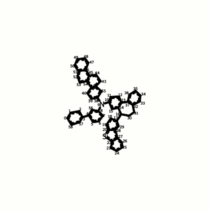 c1ccc(-c2cccc(N(c3ccc4c(c3)C(c3ccc5sc6ccccc6c5c3)CCc3ccccc3-4)c3ccc4c(ccc5c6ccccc6ccc45)c3)c2)cc1